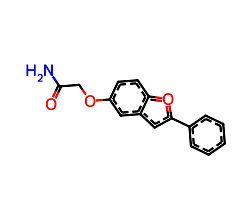 NC(=O)COc1ccc2oc(-c3ccccc3)cc2c1